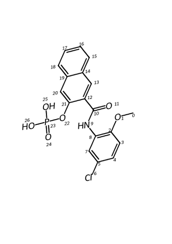 COc1ccc(Cl)cc1NC(=O)c1cc2ccccc2cc1OP(=O)(O)O